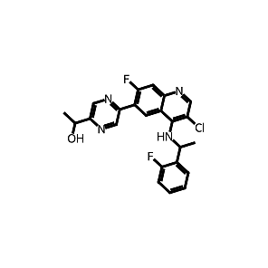 CC(O)c1cnc(-c2cc3c(NC(C)c4ccccc4F)c(Cl)cnc3cc2F)cn1